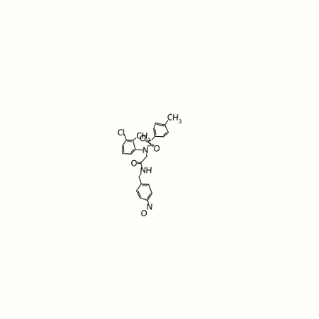 Cc1ccc(S(=O)(=O)N(CC(=O)NCc2ccc(N=O)cc2)c2cccc(Cl)c2C)cc1